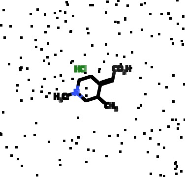 CC1CN(C)CCC1=CC(=O)O.Cl